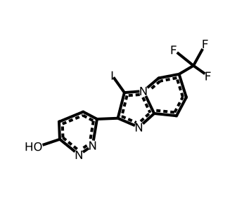 Oc1ccc(-c2nc3ccc(C(F)(F)F)cn3c2I)nn1